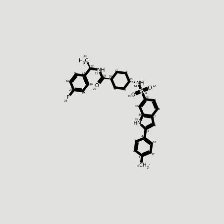 [CH2]c1ccc(-c2cc3ccc(S(=O)(=O)N[C@H]4CC[C@H](C(=O)N[C@H](C)c5ccc(F)cc5)CC4)cc3[nH]2)cc1